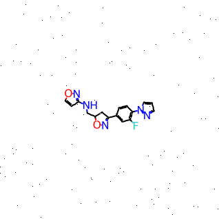 Fc1cc(C2=NOC(CNc3ccon3)C2)ccc1-n1cccn1